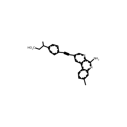 Cc1ccc2c(c1)nc(N)c1ncc(C#Cc3ccc(C(C)CC(=O)O)cc3)cc12